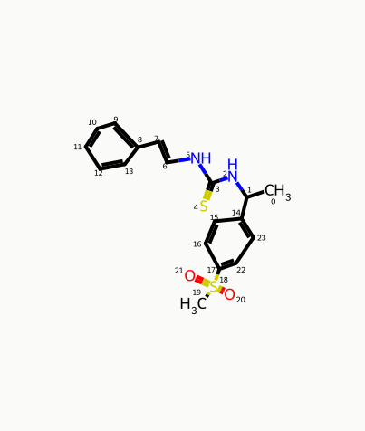 CC(NC(=S)NC=Cc1ccccc1)c1ccc(S(C)(=O)=O)cc1